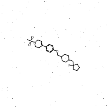 CS(=O)(=O)N1CC=C(c2ccc(OCC3CCN(CC4(F)CCCC4)CC3)cc2)CC1